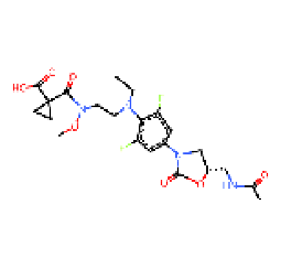 CCN(CCN(OC)C(=O)C1(C(=O)O)CC1)c1c(F)cc(N2C[C@H](CNC(C)=O)OC2=O)cc1F